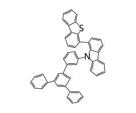 c1ccc(-c2cc(-c3ccccc3)cc(-c3cccc(-n4c5ccccc5c5cccc(-c6cccc7c6sc6ccccc67)c54)c3)c2)cc1